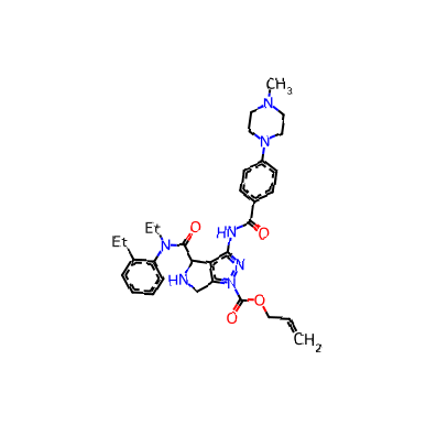 C=CCOC(=O)n1nc(NC(=O)c2ccc(N3CCN(C)CC3)cc2)c2c1CNC2C(=O)N(CC)c1ccccc1CC